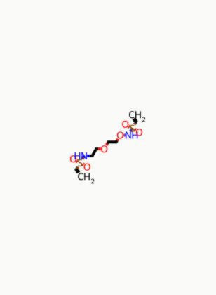 C=CS(=O)(=O)NCCOCCONS(=O)(=O)C=C